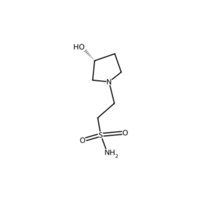 NS(=O)(=O)CCN1CC[C@@H](O)C1